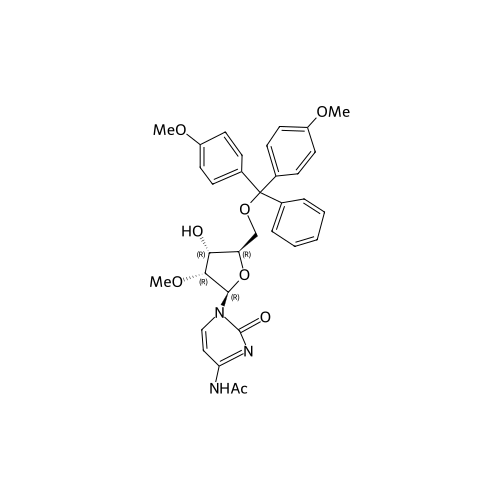 COc1ccc(C(OC[C@H]2O[C@@H](n3ccc(NC(C)=O)nc3=O)[C@H](OC)[C@@H]2O)(c2ccccc2)c2ccc(OC)cc2)cc1